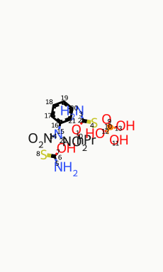 CCCOC(N)=S.NC(O)=S.O=P(O)(O)O.O=[N+]([O-])N(c1ccccc1)[N+](=O)[O-]